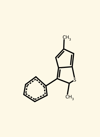 CC1=CC2=C(c3ccccc3)C(C)SC2=C1